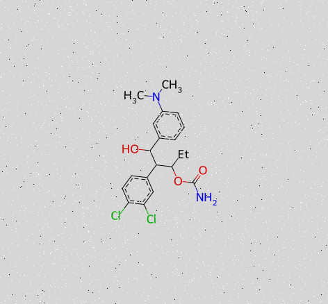 CCC(OC(N)=O)C(c1ccc(Cl)c(Cl)c1)C(O)c1cccc(N(C)C)c1